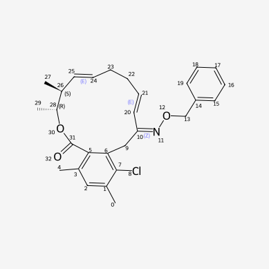 Cc1cc(C)c2c(c1Cl)CC(=N/OCc1ccccc1)/C=C/CC/C=C/[C@H](C)[C@@H](C)OC2=O